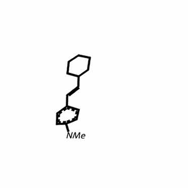 CNc1ccc(/C=C/C2CCCCC2)cc1